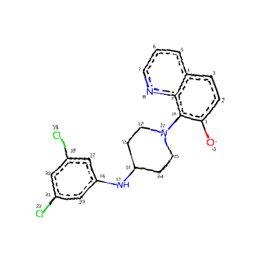 [O]c1ccc2cccnc2c1N1CCC(Nc2cc(Cl)cc(Cl)c2)CC1